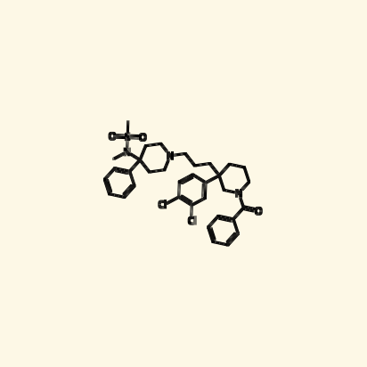 CN(C1(c2ccccc2)CCN(CCCC2(c3ccc(Cl)c(Cl)c3)CCCN(C(=O)c3ccccc3)C2)CC1)S(C)(=O)=O